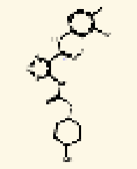 NC1CCC(NC(=S)Nc2nonc2/C(=N/O)Nc2ccc(F)c(Br)c2)CC1